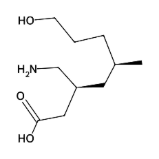 C[C@H](CCCO)C[C@H](CN)CC(=O)O